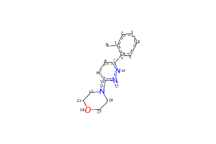 Cc1ccccc1-c1ccc(N2CCOCC2)nn1